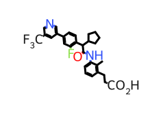 Cc1c(CCC(=O)O)cccc1NC(=O)C(c1ccc(-c2cncc(C(F)(F)F)c2)cc1F)C1CCCC1